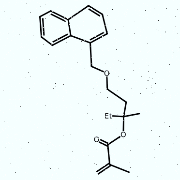 C=C(C)C(=O)OC(C)(CC)CCOCc1cccc2ccccc12